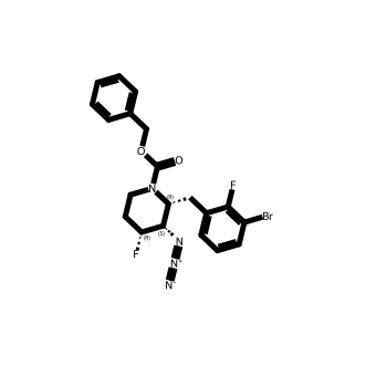 [N-]=[N+]=N[C@@H]1[C@H](F)CCN(C(=O)OCc2ccccc2)[C@@H]1Cc1cccc(Br)c1F